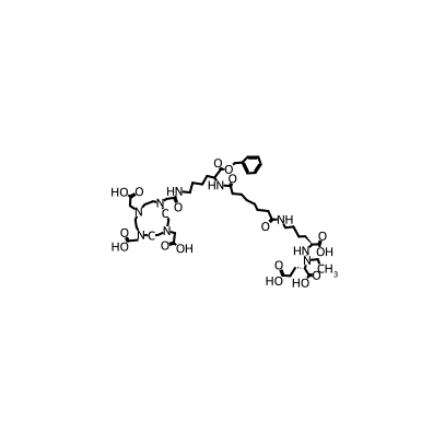 CCN(N[C@@H](CCCCNC(=O)CCCCCCC(=O)NC(CCCCNC(=O)CN1CCN(CC(=O)O)CCN(CC(=O)O)CCN(CC(=O)O)CC1)C(=O)OCc1ccccc1)C(=O)O)[C@@H](CCC(=O)O)C(=O)O